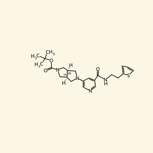 CC(C)(C)OC(=O)N1C[C@@H]2CN(c3cncc(C(=O)NCCc4cccs4)c3)C[C@@H]2C1